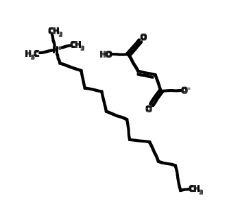 CCCCCCCCCCCC[N+](C)(C)C.O=C([O-])C=CC(=O)O